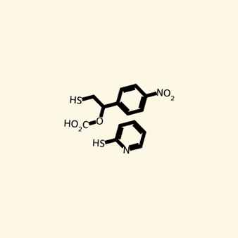 O=C(O)OC(CS)c1ccc([N+](=O)[O-])cc1.Sc1ccccn1